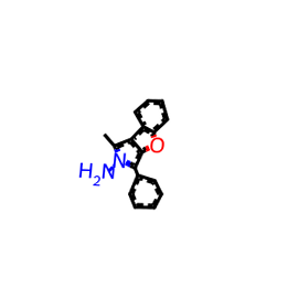 Cc1c2c(oc3ccccc32)c(-c2ccccc2)n1N